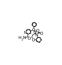 NC(=O)c1nccc(Oc2ccccc2)c1[C@H]1COc2ccccc2-n2c1noc2=O